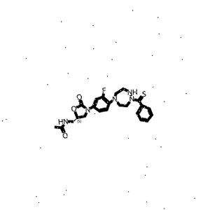 CC(=O)NC[C@H]1CN(c2ccc(N3CCNN(C(=S)c4ccccc4)CC3)c(F)c2)C(=O)O1